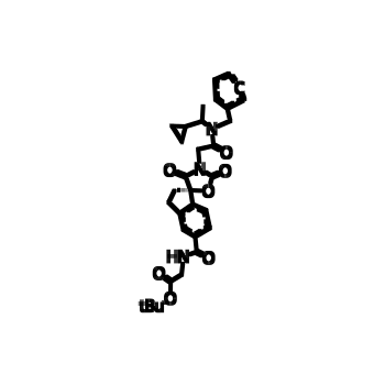 CC(C1CC1)N(Cc1ccccc1)C(=O)CN1C(=O)O[C@]2(CCc3cc(C(=O)NCC(=O)OC(C)(C)C)ccc32)C1=O